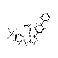 COC(=O)c1cc(-c2ccccc2)ccc1N1CCC(Oc2ccc(C(F)(F)F)cn2)C1